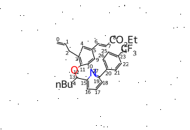 C=CCc1cc(/C=C/C(=O)OCC)ccc1OC(CCCC)c1cccc(-c2ccc(C(F)(F)F)cc2)n1